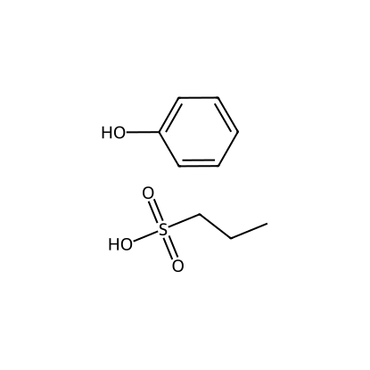 CCCS(=O)(=O)O.Oc1ccccc1